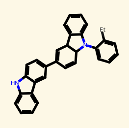 CCc1ccccc1N1c2ccccc2C2C=C(c3ccc4[nH]c5ccccc5c4c3)C=CC21